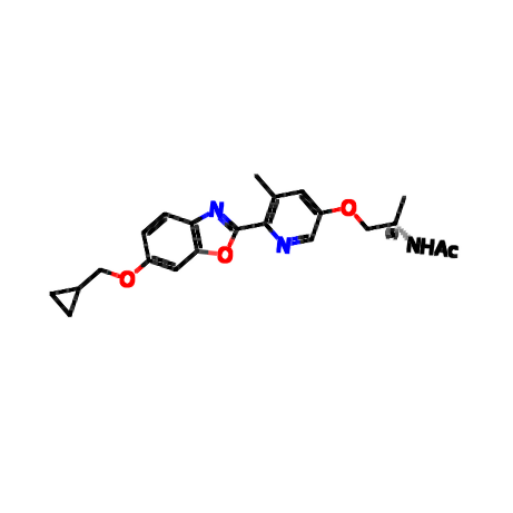 CC(=O)N[C@@H](C)COc1cnc(-c2nc3ccc(OCC4CC4)cc3o2)c(C)c1